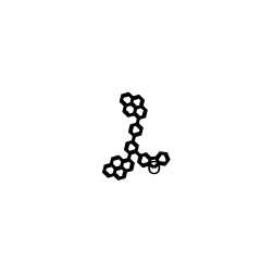 c1cc2ccc3ccc(-c4ccc(-c5ccc(-c6ccc7ccc8cccc9ccc6c7c89)c(-c6ccc7oc8ccccc8c7c6)c5)cc4)c4ccc(c1)c2c34